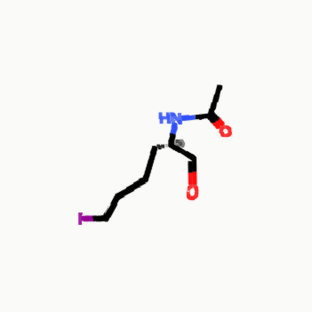 CC(=O)N[C@H](C=O)CCCCI